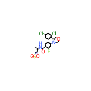 C[C@H](/C=C/S(C)(=O)=O)NC(=O)c1ccc(N2CCOC[C@@H]2c2ccc(Cl)cc2Cl)cc1F